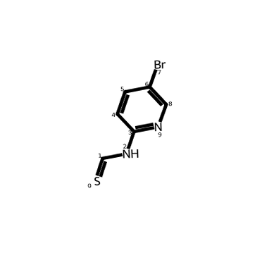 S=CNc1ccc(Br)cn1